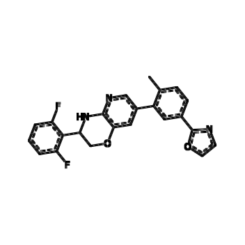 Cc1ccc(-c2ncco2)cc1-c1cnc2c(c1)OCC(c1c(F)cccc1F)N2